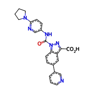 O=C(O)c1nn(C(=O)Nc2ccc(N3CCCC3)nc2)c2ccc(-c3cccnc3)cc12